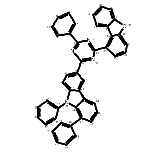 c1ccc(-c2nc(-c3ccc4c(c3)c3cccc(-c5ccccc5)c3n4-c3ccccc3)nc(-c3cccc4oc5ccccc5c34)n2)cc1